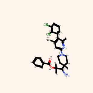 Cc1nc(N2CCC(C)(C(N)C(C)(C)OC(=O)c3ccccc3)CC2)cc(C#N)c1-c1cccc(Cl)c1Cl